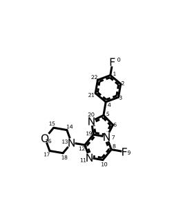 Fc1ccc(-c2cn3c(F)cnc(N4CCOCC4)c3n2)cc1